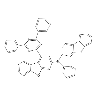 c1ccc(-c2nc(-c3ccccc3)nc(-c3cc(-n4c5ccccc5c5c6sc7ccccc7c6ccc54)cc4oc5ccccc5c34)n2)cc1